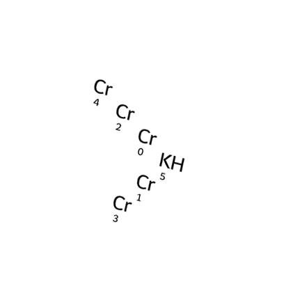 [Cr].[Cr].[Cr].[Cr].[Cr].[KH]